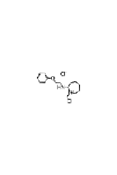 Cl/C=[N+]1\CCCCCC1NCCOc1ccccc1.[Cl-]